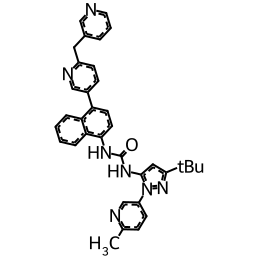 Cc1ccc(-n2nc(C(C)(C)C)cc2NC(=O)Nc2ccc(-c3ccc(Cc4cccnc4)nc3)c3ccccc23)cn1